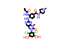 C=CC(=O)Nc1cc(C(=O)NC2CCN(C)CC2)ccc1Nc1ncc2c(n1)N(C)C(=O)N(c1c(Cl)c(O)cc(O)c1Cl)C2